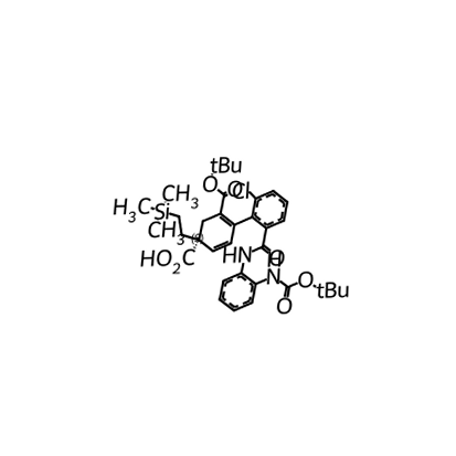 CC(C)(C)OC(=O)Nc1ccccc1NC(=O)c1cccc(Cl)c1C1=C(C(=O)OC(C)(C)C)C[C@@](CC[Si](C)(C)C)(C(=O)O)C=C1